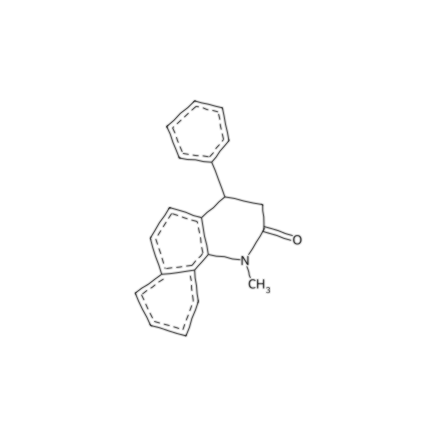 CN1C(=O)CC(c2ccccc2)c2ccc3ccccc3c21